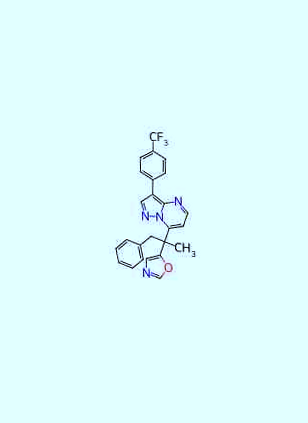 CC(Cc1ccccc1)(c1cnco1)c1ccnc2c(-c3ccc(C(F)(F)F)cc3)cnn12